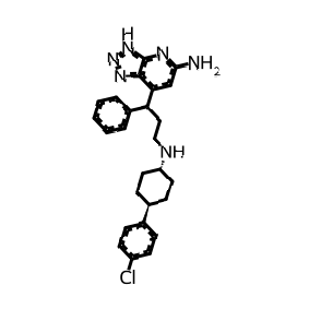 Nc1cc(C(CCN[C@H]2CC[C@H](c3ccc(Cl)cc3)CC2)c2ccccc2)c2nn[nH]c2n1